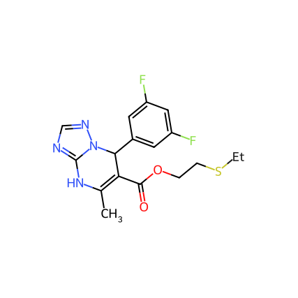 CCSCCOC(=O)C1=C(C)Nc2ncnn2C1c1cc(F)cc(F)c1